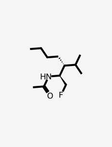 CCCC[C@H](C(C)C)[C@@H](CF)NC(C)=O